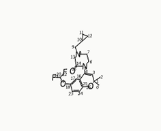 CC1(C)C=C(N2CCN(CC3CC3)CC2=O)c2cc(OC(F)F)ccc2O1